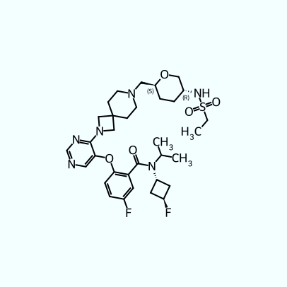 CCS(=O)(=O)N[C@@H]1CC[C@@H](CN2CCC3(CC2)CN(c2ncncc2Oc2ccc(F)cc2C(=O)N(C(C)C)[C@H]2C[C@H](F)C2)C3)OC1